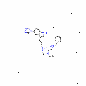 CN1CCN(CCCc2c[nH]c3ccc(-n4cnnc4)cc23)CC1CNCc1ccccc1